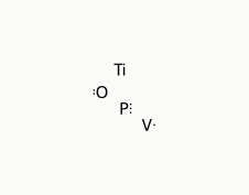 [O].[P].[Ti].[V]